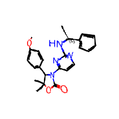 COc1ccc(C2N(c3ccnc(N[C@@H](C)c4ccccc4)n3)C(=O)OC2(C)C)cc1